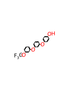 Oc1ccc(Oc2cccc(Oc3cccc(OC(F)(F)F)c3)c2)cc1